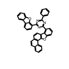 c1ccc(-c2nc(-c3cccc4c3oc3ccccc34)nc(-c3cccc4oc5c(ccc6ccc7ccccc7c65)c34)n2)cc1